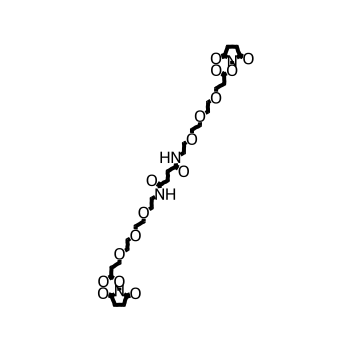 O=C(CCC(=O)NCCOCCOCCOCCC(=O)ON1C(=O)CCC1=O)NCCOCCOCCOCCC(=O)ON1C(=O)CCC1=O